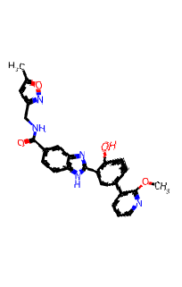 COc1ncccc1-c1ccc(O)c(-c2nc3cc(C(=O)NCc4cc(C)on4)ccc3[nH]2)c1